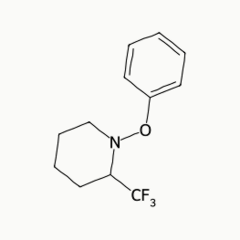 FC(F)(F)C1CCCCN1Oc1ccccc1